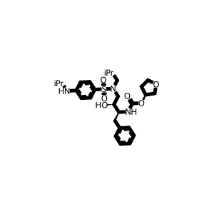 CC(C)CN(C[C@@H](O)[C@H](Cc1ccccc1)NC(=O)O[C@H]1CCOC1)S(=O)(=O)c1ccc(NC(C)C)cc1